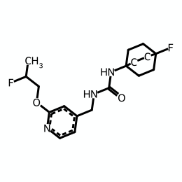 CC(F)COc1cc(CNC(=O)NC23CCC(F)(CC2)CC3)ccn1